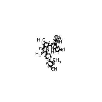 Cc1cc([C@@H](C)Nc2ccc(Cl)nc2C(=O)NS(C)(=O)=O)c2nc(C3CCN(c4ncc(C#N)cc4C)CC3)n(C)c(=O)c2c1